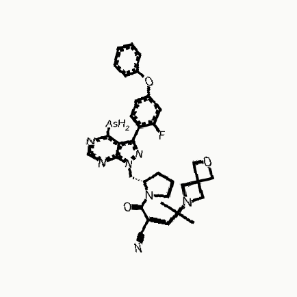 CC(C)(/C=C(/C#N)C(=O)N1CCC[C@H]1Cn1nc(-c2ccc(Oc3ccccc3)cc2F)c2c([AsH2])ncnc21)N1CC2(COC2)C1